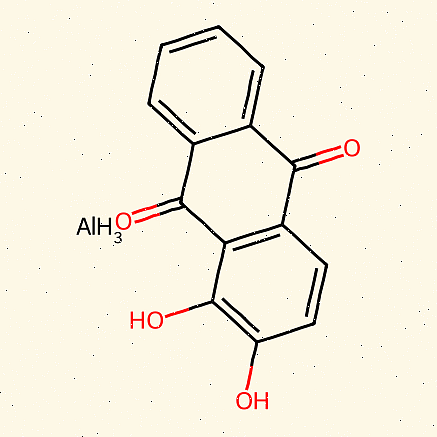 O=C1c2ccccc2C(=O)c2c1ccc(O)c2O.[AlH3]